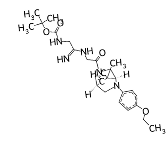 CCOc1ccc(N2C[C@H]3CN(C(=O)CNC(=N)CNC(=O)OC(C)(C)C)C[C@@H]2C(C)(C)C3)cc1